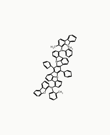 Cc1ccccc1N(c1cccc2c1oc1ccccc12)c1cccc2c1c1cccc3c4c(-c5ccccc5)c5c(c(-c6ccccc6)c4n2c13)c1cccc2c3c(N(c4ccccc4C)c4c(C)ccc6c4oc4ccccc46)cccc3n5c21